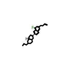 C=CCCc1cc(F)c2cc([C@@H]3CC[C@@H]4CC(CCC)CCC4C3)ccc2c1